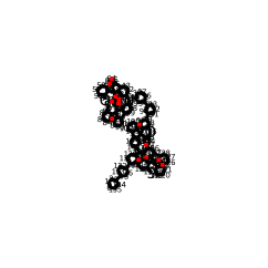 c1ccc(-c2ccc(-c3ccc(N(c4ccc5c(c4)C4(c6ccccc6Oc6cc(-c7cccc(-c8cccc(N(c9ccc%10c(c9)C9(c%11ccccc%11Oc%11ccccc%119)c9ccccc9-%10)c9ccc%10c(c9)C9(c%11ccccc%11Sc%11ccccc%119)c9ccccc9-%10)c8)c7)ccc64)c4ccccc4-5)c4ccc5c(c4)C4(c6ccccc6Sc6ccccc64)c4ccccc4-5)cc3)cc2)cc1